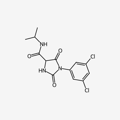 CC(C)NC(=O)C1NC(=O)N(c2cc(Cl)cc(Cl)c2)C1=O